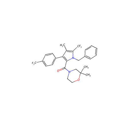 Cc1c(-c2ccc(C(F)(F)F)cc2)c(C(=O)N2CCOC(C)(C)C2)n(Cc2ccccc2)c1C(F)(F)F